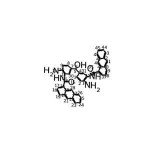 Nc1ccc(C(O)c2ccc(N)c(NC(=O)c3cccc4cc5ccccc5cc34)c2)cc1NC(=O)c1cccc2cc3ccccc3cc12